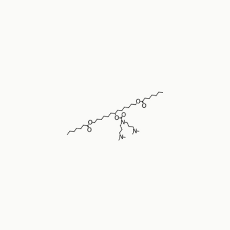 CCCCCCC(=O)OCCCCCCC(CCCCCCOC(=O)CCCCCC)OC(=O)N(CCCN(C)C)CCCN(C)C